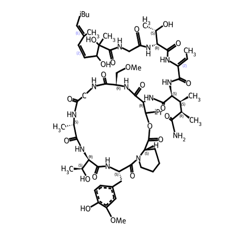 C/C=C(\NC(=O)[C@H](NC(=O)CNC(=O)C(C)(O)C(O)/C=C\C(C)=C\C(C)CC)[C@H](C)O)C(=O)N[C@H](C(=O)N[C@H]1C(=O)N[C@H](COC)C(=O)NCC(=O)N[C@@H](C)C(=O)N[C@H]([C@H](C)O)C(=O)N[C@@H](Cc2ccc(O)c(OC)c2)C(=O)N2CCCC[C@H]2C(=O)OC1C(C)C)[C@@H](C)[C@@H](C)C(N)=O